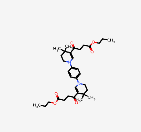 CCCOC(=O)CCC(=O)C1=CN(c2ccc(N3C=C(C(=O)CCC(=O)OCCC)C(C)(C)CC3)cc2)CCC1(C)C